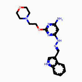 Nc1cc(NN=Cc2c[nH]c3ccccc23)nc(OCCN2CCOCC2)n1